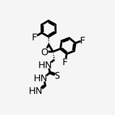 N=CNC(=S)NC[C@]1(c2ccc(F)cc2F)O[C@@H]1c1ccccc1F